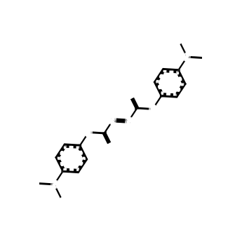 CN(C)c1ccc(OC(=O)N=NC(=O)Oc2ccc(N(C)C)cc2)cc1